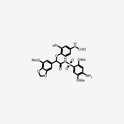 CCCc1cc(NC=O)ccc1OC(C(=O)NS(=O)(=O)c1cc(OC)c(N)cc1OC)c1cc(OC)c2c(c1)OCO2